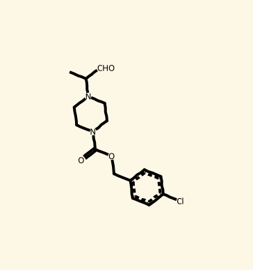 CC(C=O)N1CCN(C(=O)OCc2ccc(Cl)cc2)CC1